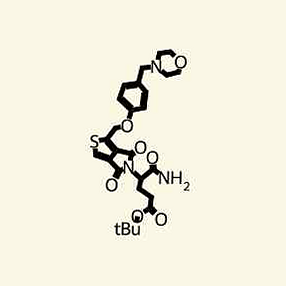 CC(C)(C)OC(=O)CCC(C(N)=O)N1C(=O)c2csc(COc3ccc(CN4CCOCC4)cc3)c2C1=O